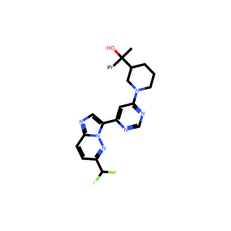 CC(C)C(C)(O)C1CCCN(c2cc(-c3cnc4ccc(C(F)F)nn34)ncn2)C1